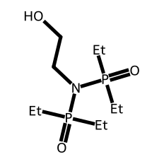 CCP(=O)(CC)N(CCO)P(=O)(CC)CC